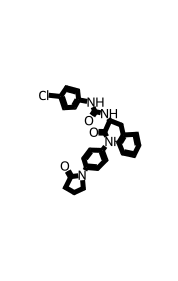 O=C(Nc1ccc(Cl)cc1)NC(Cc1ccccc1)C(=O)Nc1ccc(N2CCCC2=O)cc1